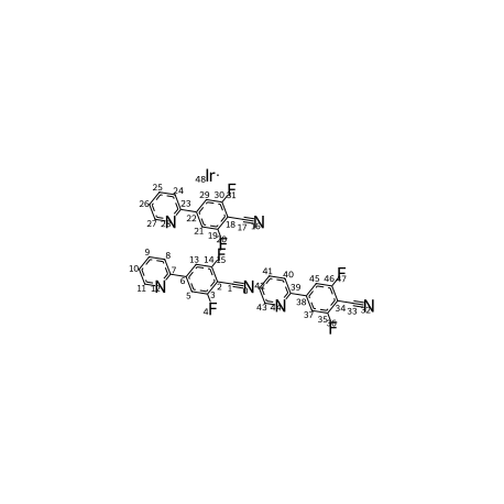 N#Cc1c(F)cc(-c2ccccn2)cc1F.N#Cc1c(F)cc(-c2ccccn2)cc1F.N#Cc1c(F)cc(-c2ccccn2)cc1F.[Ir]